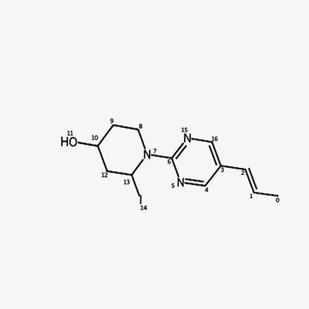 CC=Cc1cnc(N2CCC(O)CC2I)nc1